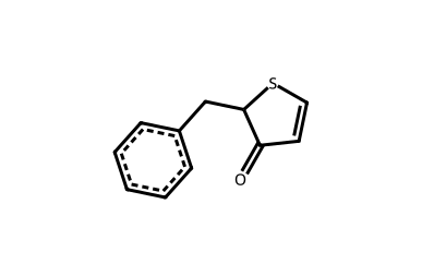 O=C1C=CSC1Cc1ccccc1